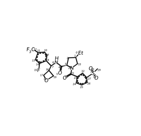 CC[C@@H]1C[C@H](C(=O)NC(c2ccc(C(F)(F)F)cc2F)C2COC2)N(C(=O)c2cccc(S(C)(=O)=O)c2)C1